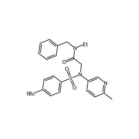 CCN(Cc1ccccc1)C(=O)CN(c1ccc(C)nc1)S(=O)(=O)c1ccc(C(C)(C)C)cc1